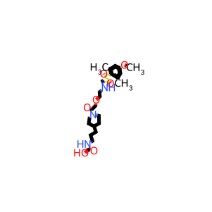 COc1cc(C)c(S(=O)(=O)CNCCOCC(=O)N2CCC(CCCNC(=O)O)CC2)c(C)c1